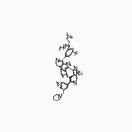 CN(C)CCNc1cc(F)cc(-c2nccc3[nH]c(-c4n[nH]c5cnc(-c6cncc(CN7CCCCC7)c6)cc45)nc23)c1